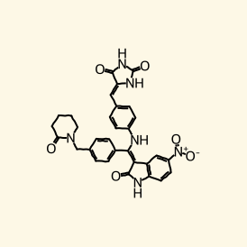 O=C1NC(=O)C(=Cc2ccc(NC(=C3C(=O)Nc4ccc([N+](=O)[O-])cc43)c3ccc(CN4CCCCC4=O)cc3)cc2)N1